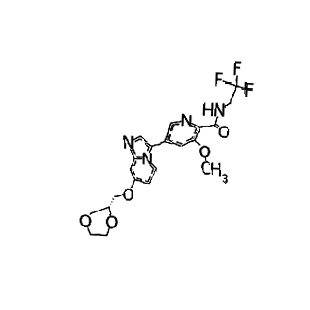 COc1cc(-c2cnc3cc(OC[C@H]4COCCO4)ccn23)cnc1C(=O)NCC(F)(F)F